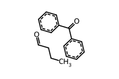 CCCC=O.O=C(c1ccccc1)c1ccccc1